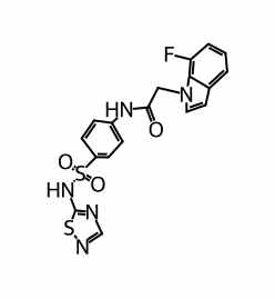 O=C(Cn1ccc2cccc(F)c21)Nc1ccc(S(=O)(=O)Nc2ncns2)cc1